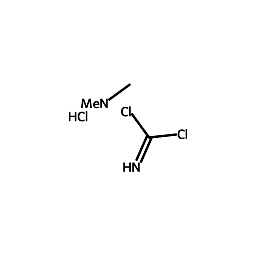 CNC.Cl.N=C(Cl)Cl